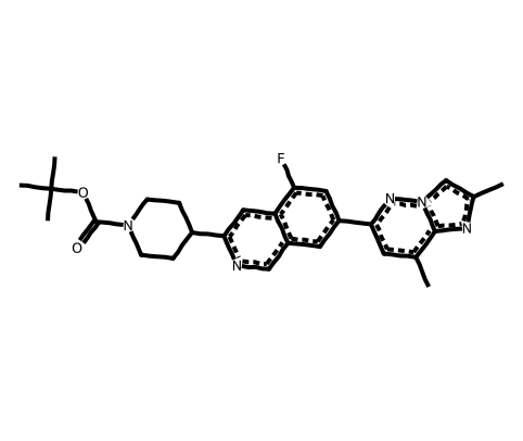 Cc1cn2nc(-c3cc(F)c4cc(C5CCN(C(=O)OC(C)(C)C)CC5)ncc4c3)cc(C)c2n1